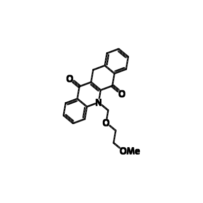 COCCOCn1c2c(c(=O)c3ccccc31)Cc1ccccc1C2=O